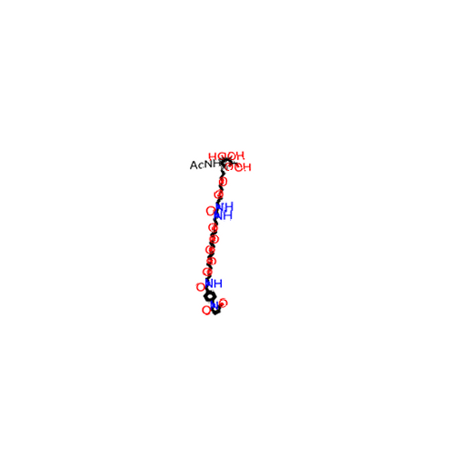 CC(=O)N[C@@H]1[C@@H](O)[C@@H](O)[C@@H](CO)O[C@@H]1CCCOCCOCCNC(=O)NCCOCCOCCOCCOCCOCCNC(=O)c1ccc(N2C(=O)C=CC2=O)cc1